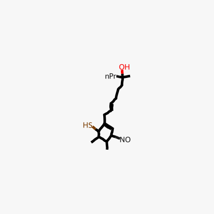 CCCC(C)(O)CCC/C=C/CC1=CC(N=O)C(C)C(C)C1S